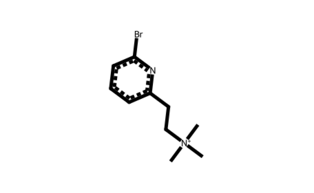 C[N+](C)(C)CCc1cccc(Br)n1